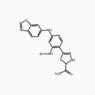 CC(C)Nc1cc(Nc2ccc3ncsc3c2)ncc1C1=NNC(C(N)=O)S1